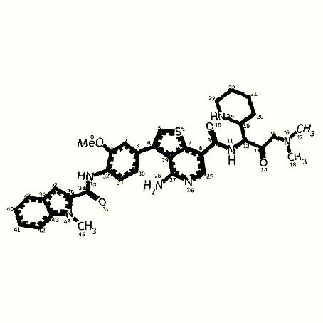 COc1cc(-c2csc3c(C(=O)NC(C(=O)CN(C)C)C4CCCCN4)cnc(N)c23)ccc1NC(=O)c1cc2ccccc2n1C